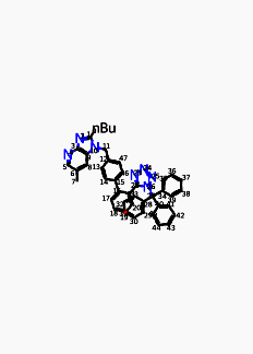 CCCCc1nc2ncc(C)cc2n1Cc1ccc(-c2ccccc2-c2nnnn2C(c2ccccc2)(c2ccccc2)c2ccccc2)cc1